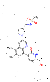 COc1c(C(C)(C)C)cc(-c2ccc(CO)[nH]c2=O)c2ncc(N3CC[C@H](CNS(C)(=O)=O)C3)cc12